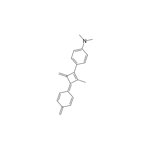 C=C1C(c2ccc(N(C)C)cc2)=C(C)C1=c1ccc(=C)cc1